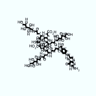 CC(C)(S)[C@H](NC(=O)[C@H](CCC(=O)NC[C@H](O)[C@@H](O)[C@H](O)[C@H](O)CO)NC(=O)[C@H](CCC(=O)O)NC(=O)[C@H](CCC(=O)NC[C@H](O)[C@@H](O)[C@H](O)[C@H](O)CO)NC(=O)[C@H](CCC(=O)O)NC(=O)[C@H](CCC(=O)NC[C@H](O)[C@@H](O)[C@H](O)[C@H](O)CO)NC(=O)CC[C@H](NC(=O)c1ccc(NCc2cnc3nc(N)[nH]c(=O)c3n2)cc1)C(=O)O)C(=O)O